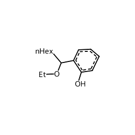 CCCCCCC(OCC)c1ccccc1O